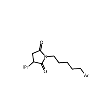 CC(=O)CCCCCN1C(=O)CC(C(C)C)C1=O